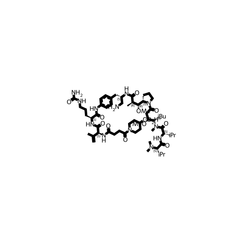 C=C(C)[C@H](NC(=O)CCC(=O)N1CCC(C(=O)O)CC1)C(=O)N[C@@H](CCCNC(N)=O)C(=O)Nc1ccc(C[C@@H](CN)NC(=O)[C@H](C)[C@@H](OC)[C@@H]2CCCN2C(=O)C[C@@H](OC)[C@H]([C@@H](C)CC)N(C)C(=O)[C@@H](NC(=O)[C@H](C(C)C)N(C)C)C(C)C)cc1